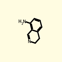 Nc1cccc2c1C=NCC2